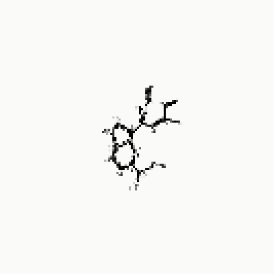 C=C/N=C(\C=C(\C)C=C)c1cnc2ccc(C(F)F)nn12